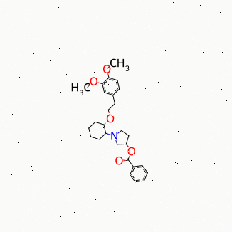 COc1ccc(CCO[C@H]2CCCCC2N2CC[C@@H](OC(=O)c3ccccc3)C2)cc1OC